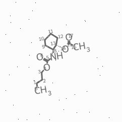 CCCCOC(=O)N[C@H]1CCCC[C@@H]1OC(C)=O